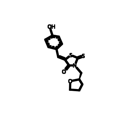 O=C1/C(=C/c2ccc(O)cc2)SC(=S)N1C[C@H]1CCCO1